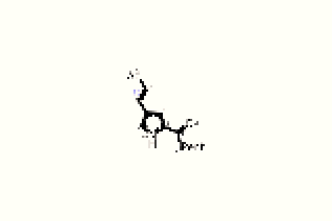 CCCC(C)C(=O)c1cc(/C=C/C(C)=O)c[nH]1